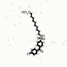 O=C(O)CCCCCCCCCCNS(=O)(=O)c1ccc(C(=O)c2ccc(Cl)cc2)cc1